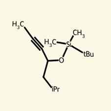 CC#CC(CC(C)C)O[Si](C)(C)C(C)(C)C